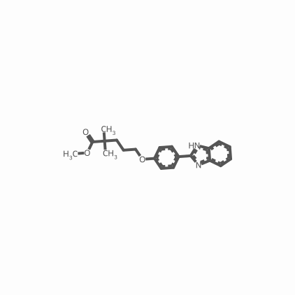 COC(=O)C(C)(C)CCCOc1ccc(-c2nc3ccccc3[nH]2)cc1